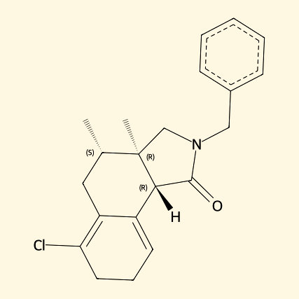 C[C@H]1CC2=C(Cl)CCC=C2[C@H]2C(=O)N(Cc3ccccc3)C[C@@]21C